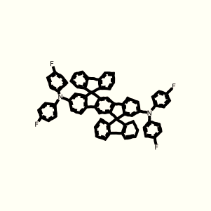 Fc1ccc(N(c2ccc(F)cc2)c2ccc3c(c2)C2(C4=C(C=CCC4)c4ccccc42)c2cc4c(cc2-3)C2(c3ccccc3-c3ccccc32)c2cc(N(c3ccc(F)cc3)c3ccc(F)cc3)ccc2-4)cc1